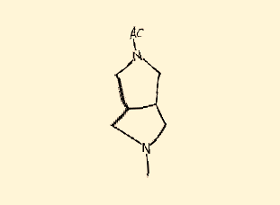 CC(=O)N1CC2CN(C)CC2C1